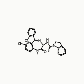 CN1C(=O)C(NC(=S)N2CCc3ccccc32)N=C(c2ccccc2Cl)c2cc(Cl)ccc21